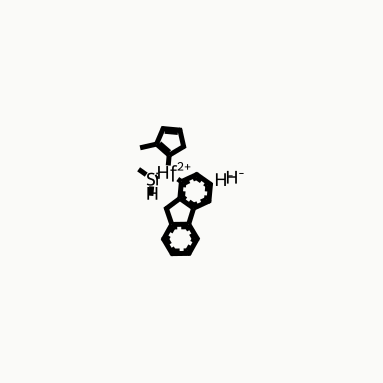 CC1=[C]([Hf+2]([c]2cccc3c2Cc2ccccc2-3)[SiH](C)C)CC=C1.[H-].[H-]